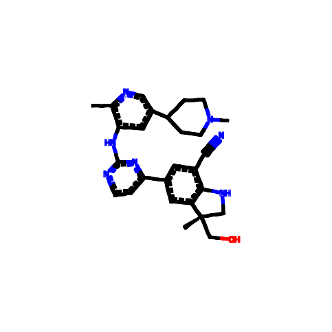 Cc1ncc(C2CCN(C)CC2)cc1Nc1nccc(-c2cc(C#N)c3c(c2)[C@@](C)(CO)CN3)n1